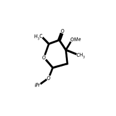 COC1(C)CC(OC(C)C)OC(C)C1=O